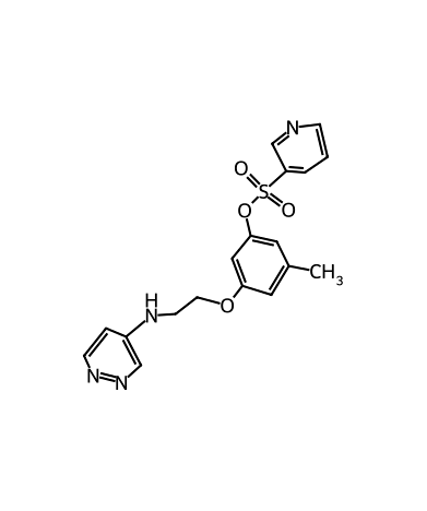 Cc1cc(OCCNc2ccnnc2)cc(OS(=O)(=O)c2cccnc2)c1